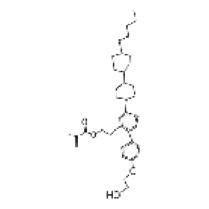 C=C(C)C(=O)OCCc1cc(C2CCC(C3CCC(CCCCC)CC3)CC2)ccc1-c1ccc(OCCO)cc1